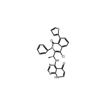 C[C@H](Nc1ncnc2[nH]ccc(=O)c12)c1c(Cl)c2cccc(-c3cccs3)c2c(=O)n1-c1ccccc1